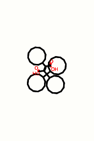 O=C(O)C(=C(C(=O)O)C(C1CCCCCCCCCCC1)(C1CCCCCCCCCCC1)C1CCCCCCCCCCC1)C1CCCCCCCCCCC1